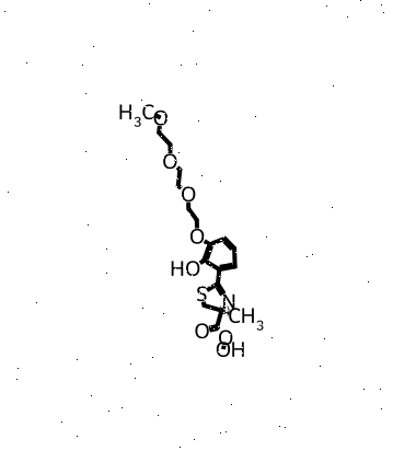 COCCOCCOCCOc1cccc(C2=N[C@@](C)(C(=O)OO)CS2)c1O